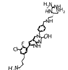 C[C@H](N)CCCc1cc(Cl)c(F)c(-c2cc3c([nH]2)=NC(O)N(c2ccc(CNCC[C@@H](CN)NC(=N)N)cc2)C=3)c1